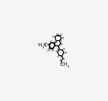 CCCC1CCC(C(CC2CC=CCC2)c2ccc(C)c(F)c2)CC1